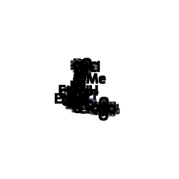 CC1COc2ccccc2N1C(=O)C(Cl)Cl.CCNc1nc(Cl)nc(NC(C)C)n1.CCOC(=O)/C(Cl)=C/c1cc(N2C(=O)C3=C(CCCC3)C2=O)ccc1Cl.CCc1cccc(C)c1N(C(=O)CCl)C(C)COC